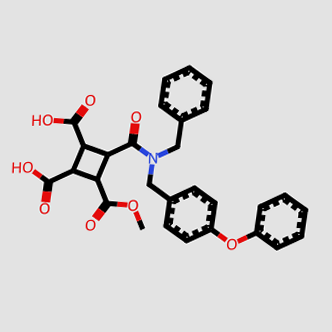 COC(=O)C1C(C(=O)O)C(C(=O)O)C1C(=O)N(Cc1ccccc1)Cc1ccc(Oc2ccccc2)cc1